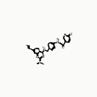 CC=Cc1ccc2c(NCc3ccc(NC(=O)c4ccc(Cl)nc4)cc3)nc(N(C)C)nc2c1